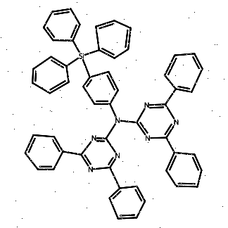 c1ccc(-c2nc(-c3ccccc3)nc(N(c3ccc([Si](c4ccccc4)(c4ccccc4)c4ccccc4)cc3)c3nc(-c4ccccc4)nc(-c4ccccc4)n3)n2)cc1